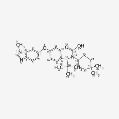 Cn1cnc2ccc(Oc3ccc(C(N(C(=O)O)C4CCC(C)(C)CC4)C(C)(C)C)cc3)cc21